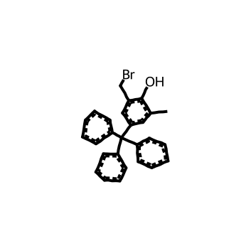 Cc1cc(C(c2ccccc2)(c2ccccc2)c2ccccc2)cc(CBr)c1O